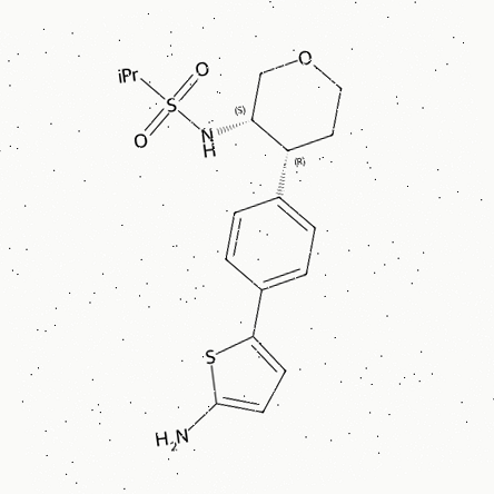 CC(C)S(=O)(=O)N[C@@H]1COCC[C@@H]1c1ccc(-c2ccc(N)s2)cc1